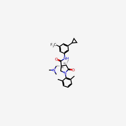 Cc1cccc(C)c1N1C[C@@](CN(C)C)(C(=O)Nc2cc(C3CC3)cc(C(F)(F)F)c2)[C@H](C)C1=O